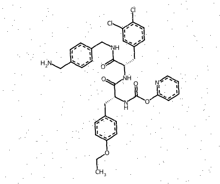 CCOc1ccc(C[C@@H](NC(=O)Oc2ccccn2)C(=O)N[C@@H](Cc2ccc(Cl)c(Cl)c2)C(=O)NCc2ccc(CN)cc2)cc1